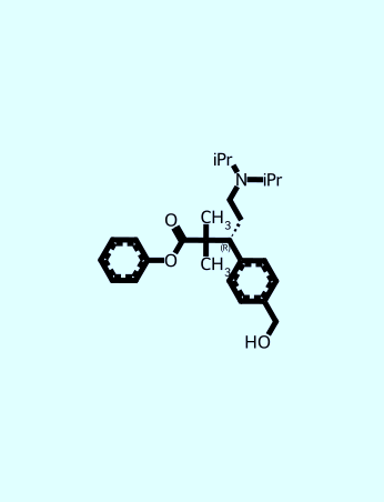 CC(C)N(CC[C@H](c1ccc(CO)cc1)C(C)(C)C(=O)Oc1ccccc1)C(C)C